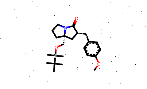 COc1ccc(C[C@H]2C[C@@]3(CO[Si](C)(C)C(C)(C)C)CCCN3C2=O)cc1